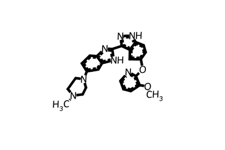 COc1cccnc1Oc1ccc2[nH]nc(-c3nc4ccc(N5CCN(C)CC5)cc4[nH]3)c2c1